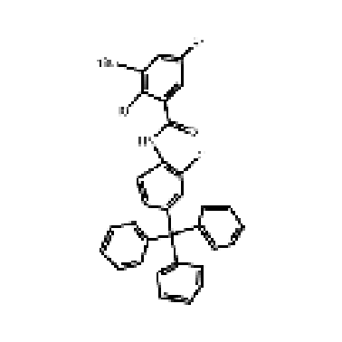 CC(C)(C)c1cc(Br)cc(C(=O)Nc2ccc(C(c3ccccc3)(c3ccccc3)c3ccccc3)cc2Cl)c1O